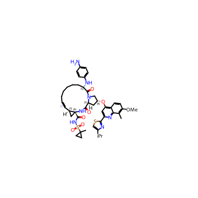 COc1ccc2c(O[C@@H]3C[C@H]4C(=O)N[C@]5(C(=O)NS(=O)(=O)C6(C)CC6)C[C@H]5/C=C\CCCCC[C@H](Nc5ccc(N)cc5)C(=O)N4C3)cc(-c3nc(C(C)C)cs3)nc2c1C